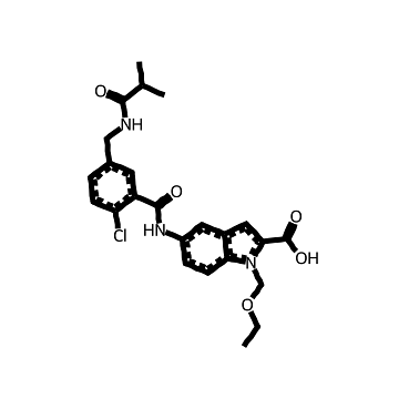 CCOCn1c(C(=O)O)cc2cc(NC(=O)c3cc(CNC(=O)C(C)C)ccc3Cl)ccc21